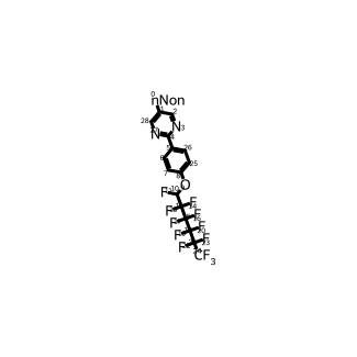 CCCCCCCCCc1cnc(-c2ccc(OC(F)C(F)(F)C(F)(F)C(F)(F)C(F)(F)C(F)(F)F)cc2)nc1